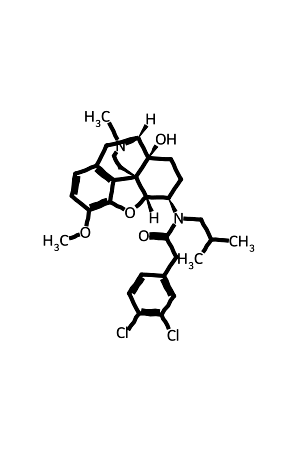 COc1ccc2c3c1O[C@H]1[C@H](N(CC(C)C)C(=O)Cc4ccc(Cl)c(Cl)c4)CC[C@@]4(O)[C@@H](C2)N(C)CC[C@]314